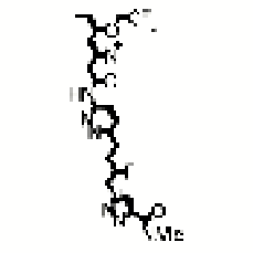 C=N/C(=C\C(=C/C)OCC(F)(F)F)CC(=O)Nc1ccc(CCC(F)Cn2cc(C(=O)NC)nn2)nn1